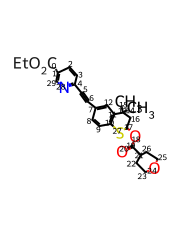 CCOC(=O)c1ccc(C#Cc2ccc3c(c2)C(C)(C)CC(OC(=O)C2CCOCC2)S3)nc1